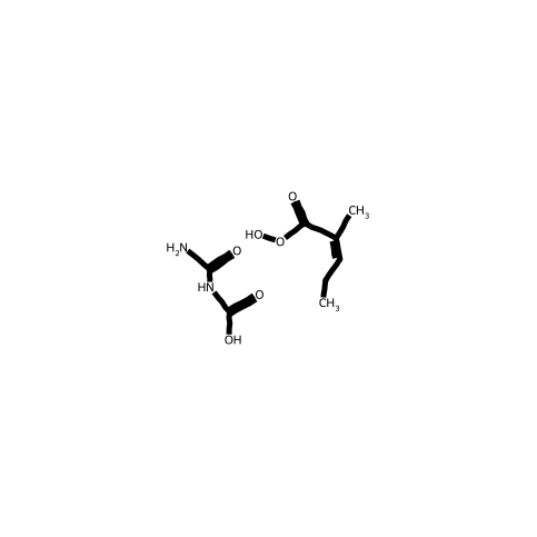 CCC=C(C)C(=O)OO.NC(=O)NC(=O)O